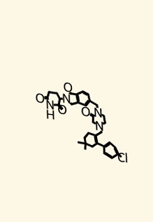 CC1(C)CCC(CN2CCN(Cc3ccc4c(c3)CN(C3CCC(=O)NC3=O)C4=O)C(=O)C2)=C(c2ccc(Cl)cc2)C1